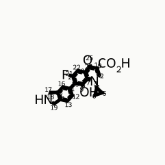 O=C(O)c1cn(C2CC2)c2c(O)c(-c3ccc4c(c3)CNC4)c(F)cc2c1=O